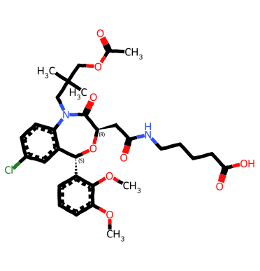 COc1cccc([C@H]2O[C@H](CC(=O)NCCCCC(=O)O)C(=O)N(CC(C)(C)COC(C)=O)c3ccc(Cl)cc32)c1OC